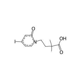 CC(C)(CCn1ccc(I)cc1=O)C(=O)O